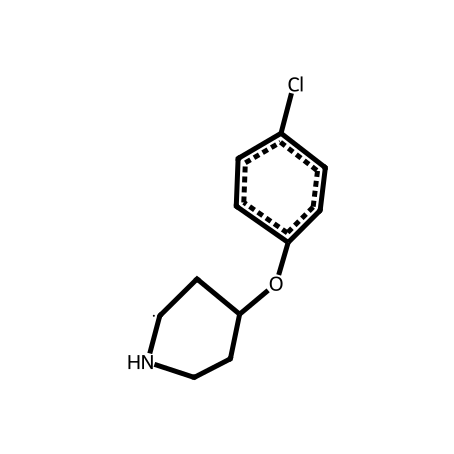 Clc1ccc(OC2C[CH]NCC2)cc1